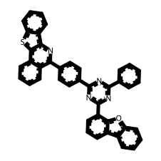 c1ccc(-c2nc(-c3ccc(-c4nc5c6ccccc6sc5c5ccccc45)cc3)nc(-c3cccc4c3oc3ccccc34)n2)cc1